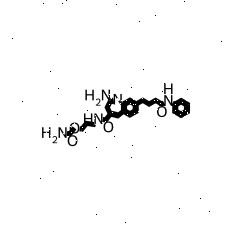 NC(=O)OCCCNC(=O)C1=Cc2ccc(CCCC(=O)Nc3ccccc3)cc2N=C(N)C1